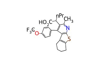 CCCC(C(=O)O)c1c(C)nc2sc3c(c2c1-c1ccc(OC(F)(F)F)cc1)CCCC3